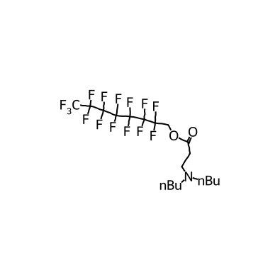 CCCCN(CCCC)CCC(=O)OCC(F)(F)C(F)(F)C(F)(F)C(F)(F)C(F)(F)C(F)(F)C(F)(F)F